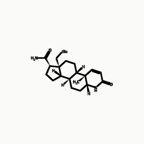 CC(C)(C)C[C@]12CC[C@H]3[C@@H](CC[C@H]4NC(=O)C=C[C@@]43C)[C@@H]1CC[C@@H]2C(N)=O